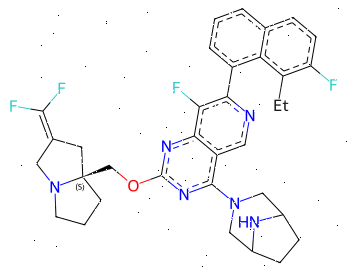 CCc1c(F)ccc2cccc(-c3ncc4c(N5CC6CCC(C5)N6)nc(OC[C@@]56CCCN5CC(=C(F)F)C6)nc4c3F)c12